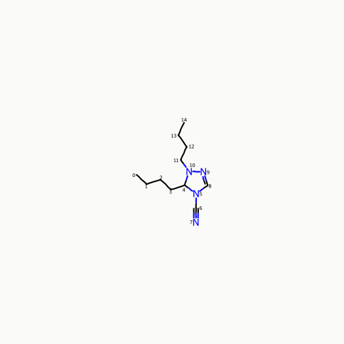 CCCCC1N(C#N)C=NN1CCCC